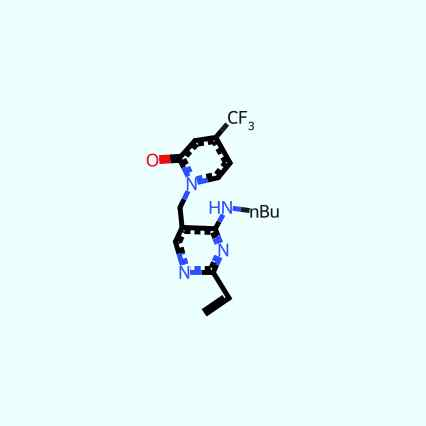 C=Cc1ncc(Cn2ccc(C(F)(F)F)cc2=O)c(NCCCC)n1